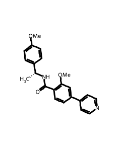 COc1ccc([C@@H](C)NC(=O)c2ccc(-c3ccncc3)cc2OC)cc1